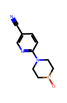 N#Cc1ccc(N2CC[S+]([O-])CC2)nc1